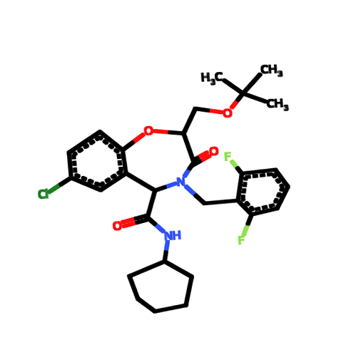 CC(C)(C)OCC1Oc2ccc(Cl)cc2C(C(=O)NC2CCCCC2)N(Cc2c(F)cccc2F)C1=O